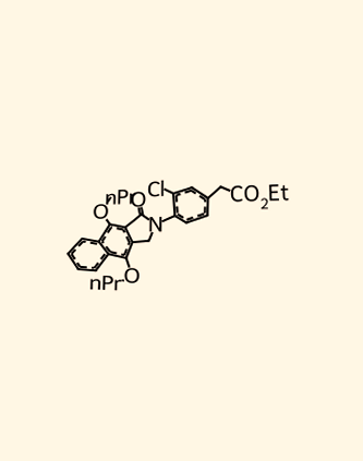 CCCOc1c2c(c(OCCC)c3ccccc13)C(=O)N(c1ccc(CC(=O)OCC)cc1Cl)C2